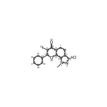 Cn1nc(Cl)c2ccc3c(=O)c(I)c(-c4ccccc4)oc3c21